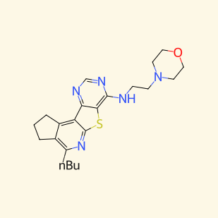 CCCCc1nc2sc3c(NCCN4CCOCC4)ncnc3c2c2c1CCC2